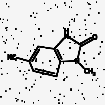 Cn1c(=O)[nH]c2cc(C#N)ccc21